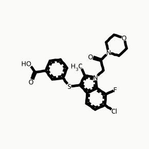 Cc1c(Sc2cccc(C(=O)O)c2)c2ccc(Cl)c(F)c2n1CC(=O)N1CCOCC1